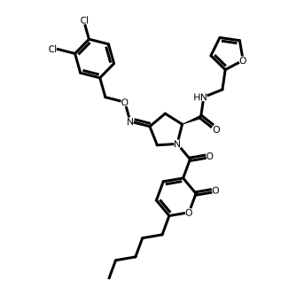 CCCCCc1ccc(C(=O)N2CC(=NOCc3ccc(Cl)c(Cl)c3)C[C@H]2C(=O)NCc2ccco2)c(=O)o1